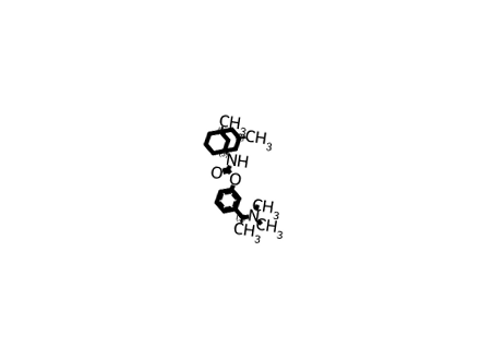 C[C@@H]1C[C@]2(C)CCC[C@](NC(=O)Oc3cccc([C@H](C)N(C)C)c3)(C1)C2